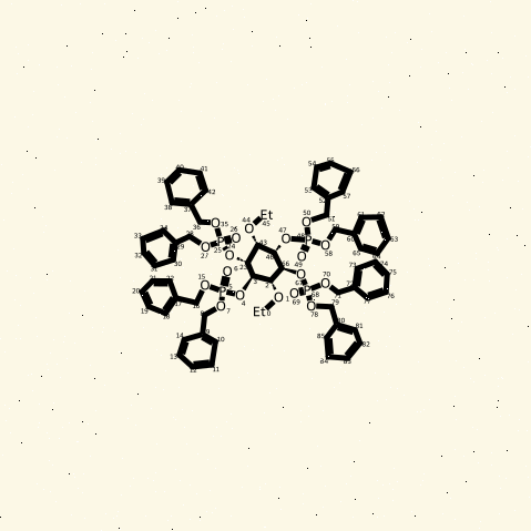 CCO[C@@H]1[C@@H](OP(=O)(OCc2ccccc2)OCc2ccccc2)[C@H](OP(=O)(OCc2ccccc2)OCc2ccccc2)[C@H](OCC)[C@H](OP(=O)(OCc2ccccc2)OCc2ccccc2)[C@H]1OP(=O)(OCc1ccccc1)OCc1ccccc1